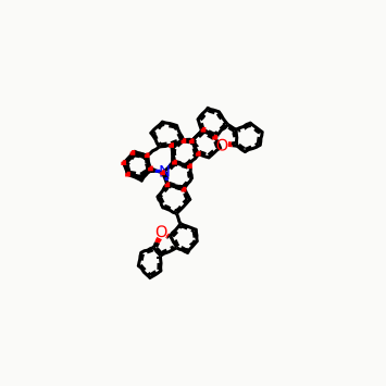 c1ccc(-c2ccccc2-c2c(-c3ccccc3)cccc2-c2ccccc2N(c2ccc(-c3cccc4c3oc3ccccc34)cc2)c2ccc(-c3cccc4c3oc3ccccc34)cc2)cc1